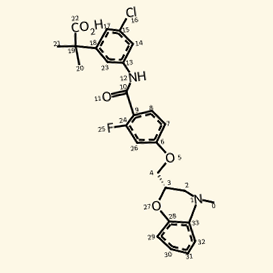 CN1C[C@@H](COc2ccc(C(=O)Nc3cc(Cl)cc(C(C)(C)C(=O)O)c3)c(F)c2)Oc2ccccc21